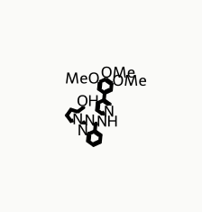 COc1cc(-c2ccc(Nc3nc(N4CCCC4CO)nc4ccccc34)nc2)cc(OC)c1OC